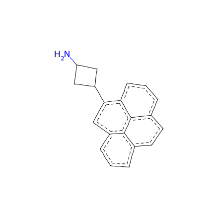 NC1CC(c2cc3cccc4ccc5cccc2c5c43)C1